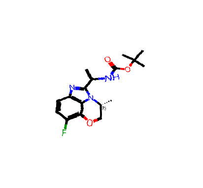 CC(NC(=O)OC(C)(C)C)c1nc2ccc(F)c3c2n1[C@H](C)CO3